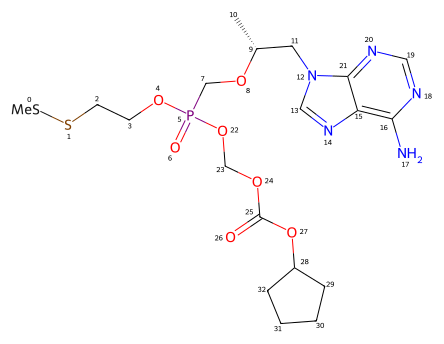 CSSCCOP(=O)(CO[C@H](C)Cn1cnc2c(N)ncnc21)OCOC(=O)OC1CCCC1